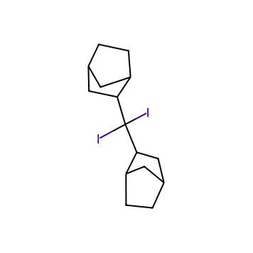 IC(I)(C1CC2CCC1C2)C1CC2CCC1C2